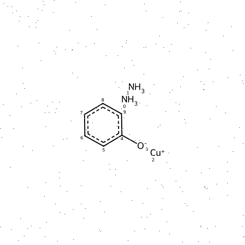 N.N.[Cu+].[O-]c1ccccc1